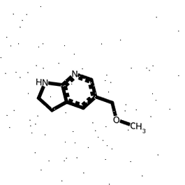 COCc1cnc2c(c1)CCN2